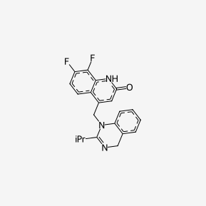 CC(C)C1=NCc2ccccc2N1Cc1cc(=O)[nH]c2c(F)c(F)ccc12